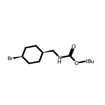 CC(C)(C)OC(=O)NC[C@H]1CC[C@@H](Br)CC1